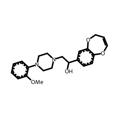 COc1ccccc1N1CCN(CC(O)c2ccc3c(c2)OCC=CO3)CC1